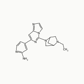 CCN1CC2CC1CN2c1nc(-c2ccnc(N)c2)cc2nccn12